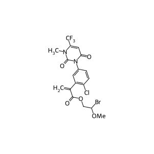 C=C(C(=O)OCC(Br)OC)c1cc(-n2c(=O)cc(C(F)(F)F)n(C)c2=O)ccc1Cl